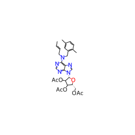 CC=CCN(Cc1cc(C)ccc1C)c1ncnc2c1ncn2[C@@H]1O[C@H](COC(C)=O)[C@@H](OC(C)=O)[C@H]1OC(C)=O